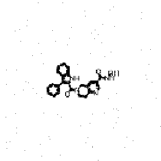 O=C(NO)c1cnc2c(c1)CN(C(=O)c1[nH]c3ccccc3c1-c1ccccc1)CC2